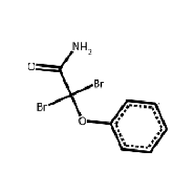 NC(=O)C(Br)(Br)Oc1c[c]ccc1